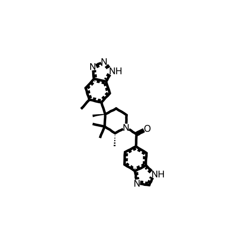 Cc1cc2nn[nH]c2cc1[C@]1(C)CCN(C(=O)c2ccc3nc[nH]c3c2)[C@H](C)C1(C)C